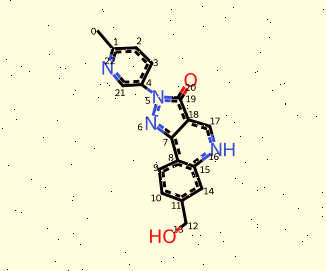 Cc1ccc(-n2nc3c4ccc(CO)cc4[nH]cc-3c2=O)cn1